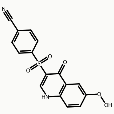 N#Cc1ccc(S(=O)(=O)c2c[nH]c3ccc(OO)cc3c2=O)cc1